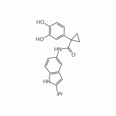 CC(C)c1cc2cc(NC(=O)C3(c4ccc(O)c(O)c4)CC3)ccc2[nH]1